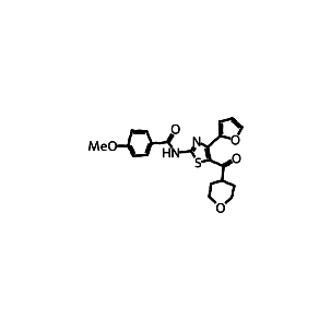 COc1ccc(C(=O)Nc2nc(-c3ccco3)c(C(=O)C3CCOCC3)s2)cc1